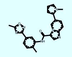 Cc1nc(-c2ccc(C)c(NC(=O)c3cnc4ccc(-c5cccn5C)cn34)c2)no1